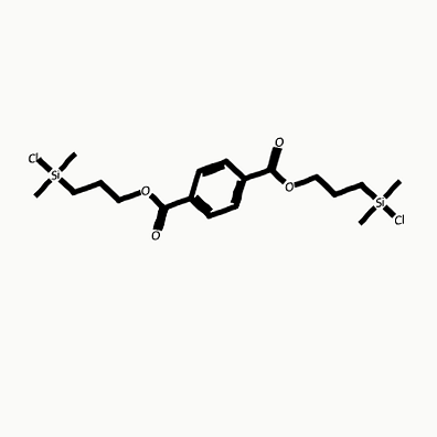 C[Si](C)(Cl)CCCOC(=O)c1ccc(C(=O)OCCC[Si](C)(C)Cl)cc1